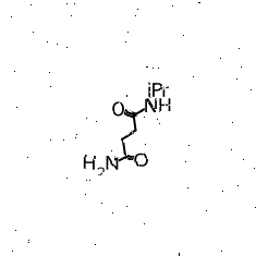 CC(C)NC(=O)CCC(N)=O